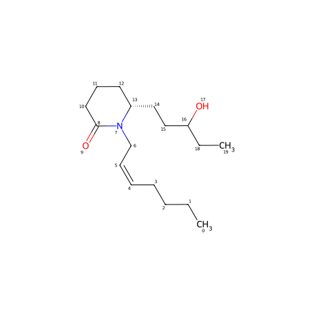 CCCC/C=C\CN1C(=O)CCC[C@@H]1CCC(O)CC